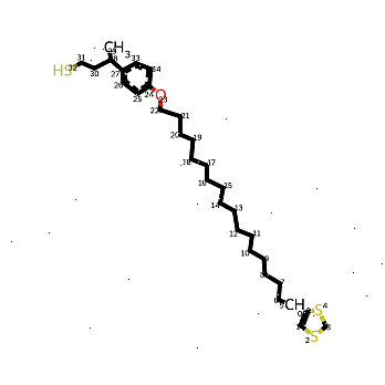 C1=CSCS1.CCCCCCCCCCCCCCCCCCOc1ccc(C(C)CCS)cc1